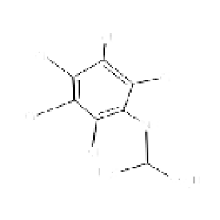 CC(Nc1c(Cl)c(Cl)c(Cl)c(Cl)c1Cl)C(=O)O